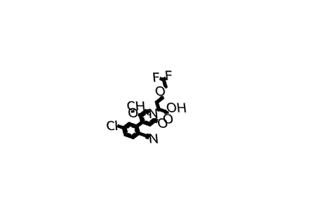 COc1cn(C(CCOCC(F)F)C(=O)O)c(=O)cc1-c1cc(Cl)ccc1C#N